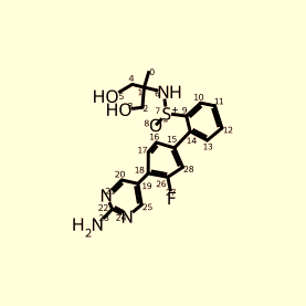 CC(CO)(CO)N[S+]([O-])c1ccccc1-c1ccc(-c2cnc(N)nc2)c(F)c1